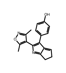 Cc1noc(C)c1C1=C(c2ccc(O)cc2)C2=CCCC2=N1